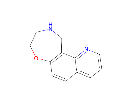 c1cnc2c3c(ccc2c1)OCCNC3